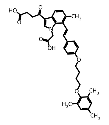 Cc1cc(C)c(OCCCCOc2ccc(C=Cc3c(C)ccc4c(C(=O)CCC(=O)O)cn(CC(=O)O)c34)cc2)c(C)c1